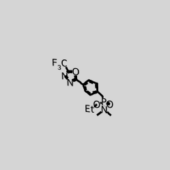 CCOP(=O)(Cc1ccc(-c2nnc(C(F)(F)F)o2)cc1)N(C)C